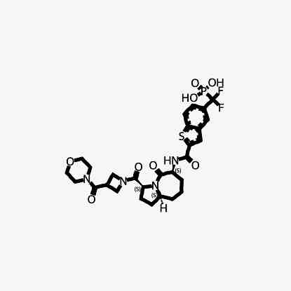 O=C(N[C@H]1CCC[C@H]2CC[C@@H](C(=O)N3CC(C(=O)N4CCOCC4)C3)N2C1=O)c1cc2cc(C(F)(F)P(=O)(O)O)ccc2s1